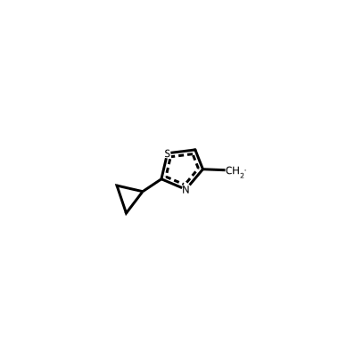 [CH2]c1csc(C2CC2)n1